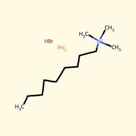 Br.CCCCCCCCC[N+](C)(C)C.P